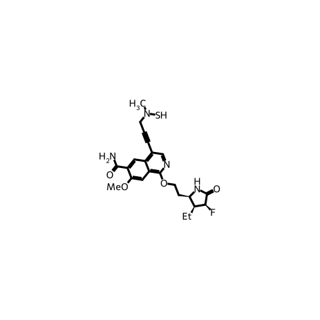 CC[C@@H]1[C@H](F)C(=O)N[C@@H]1CCOc1ncc(C#CCN(C)S)c2cc(C(N)=O)c(OC)cc12